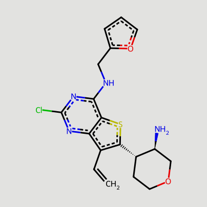 C=Cc1c([C@H]2CCOC[C@@H]2N)sc2c(NCc3ccco3)nc(Cl)nc12